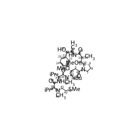 CC[C@H](C)[C@@H]([C@@H](CC(=O)N1CCC[C@H]1[C@H](OC)[C@@H](C)C(=O)N[C@H](C)[C@@H](O)c1ccccc1)OC)N(C)C(=O)[C@@H](NC(=O)[C@H](C(C)C)N(C)CCSC)C(C)C